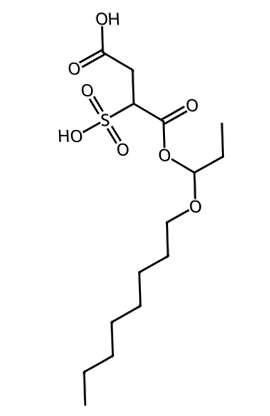 CCCCCCCCOC(CC)OC(=O)C(CC(=O)O)S(=O)(=O)O